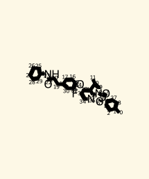 Cc1ccc(S(=O)(=O)n2cc(C)c3c(Oc4ccc(CCC(=O)Nc5ccccc5)cc4F)ccnc32)cc1